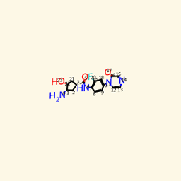 N[C@H]1C[C@@H](C(=O)Nc2ccc(-n3ccncc3=O)cc2F)C[C@@H]1O